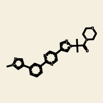 Cn1cc(-c2cccc(-c3ncc(-c4cnn(C(C)(C)C(=O)N5CCOCC5)c4)cn3)c2)cn1